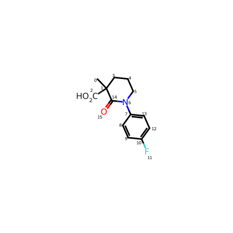 CC1(C(=O)O)CCCN(c2ccc(F)cc2)C1=O